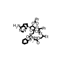 CCC(CC)COC(=O)[C@H](C)NP(=O)(OC[C@@]1(C#N)O[C@@H](c2ccc3c(N)ncnn23)[C@H](OC(=O)C(C)C)[C@@H]1OC(=O)C(C)C)Oc1ccccc1